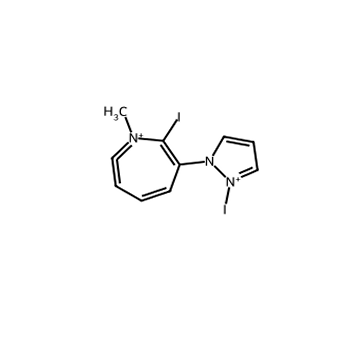 C[N+]1=C=CC=CC(n2ccc[n+]2I)=C1I